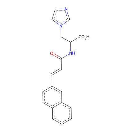 O=C(C=Cc1ccc2ccccc2c1)NC(Cn1ccnc1)C(=O)O